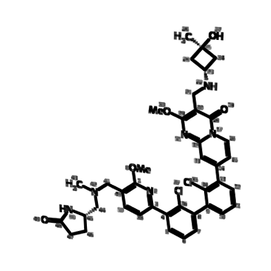 COc1nc(-c2cccc(-c3cccc(-c4ccn5c(=O)c(CN[C@H]6C[C@](C)(O)C6)c(OC)nc5c4)c3Cl)c2Cl)ccc1CN(C)C[C@@H]1CCC(=O)N1